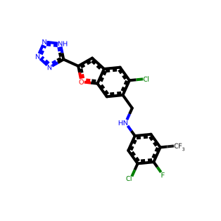 Fc1c(Cl)cc(NCc2cc3oc(-c4nnn[nH]4)cc3cc2Cl)cc1C(F)(F)F